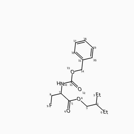 CCC(CC)COC(=O)C(CF)NC(=O)OCc1ccccc1